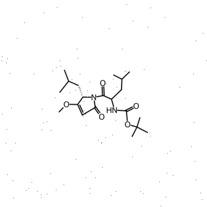 COC1=CC(=O)N(C(=O)C(CC(C)C)NC(=O)OC(C)(C)C)[C@H]1CC(C)C